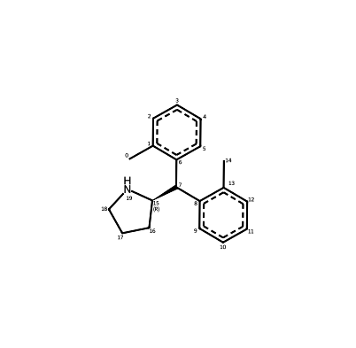 Cc1ccccc1C(c1ccccc1C)[C@H]1CCCN1